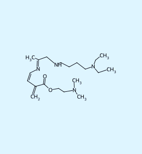 C=C(/C=C\N=C(/C)CNCCCCN(CC)CC)C(=O)OCCN(C)C